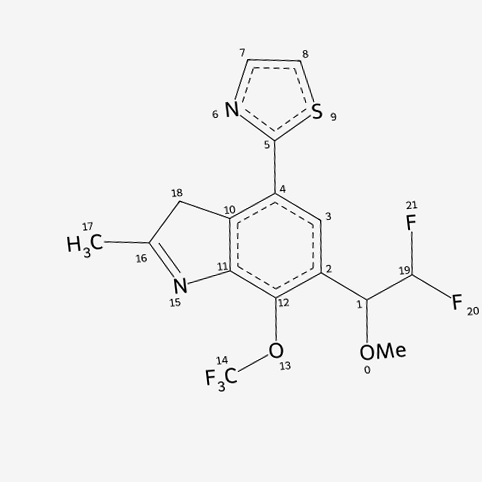 COC(c1cc(-c2nccs2)c2c(c1OC(F)(F)F)N=C(C)C2)C(F)F